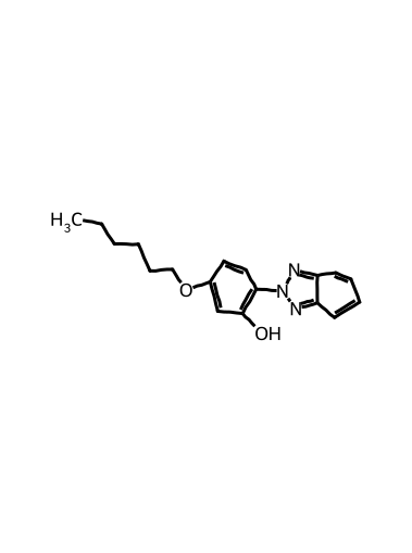 CCCCCCOc1ccc(-n2nc3ccccc3n2)c(O)c1